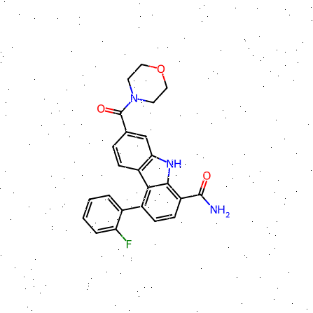 NC(=O)c1ccc(-c2ccccc2F)c2c1[nH]c1cc(C(=O)N3CCOCC3)ccc12